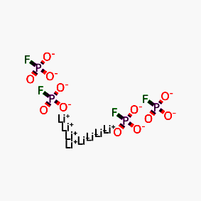 O=P([O-])([O-])F.O=P([O-])([O-])F.O=P([O-])([O-])F.O=P([O-])([O-])F.[Li+].[Li+].[Li+].[Li+].[Li+].[Li+].[Li+].[Li+]